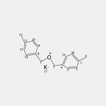 Cc1ccc(COCc2ccc(C)cc2)cc1.[K]